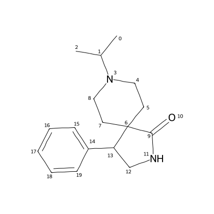 CC(C)N1CCC2(CC1)C(=O)NCC2c1ccccc1